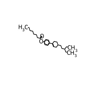 CCCCCCCC(=O)Oc1ccc(C2=CCC(CCC(CC)CC)CC2)cc1